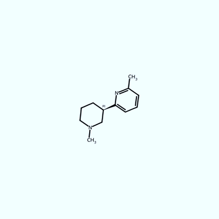 Cc1cccc([C@@H]2CCCN(C)C2)n1